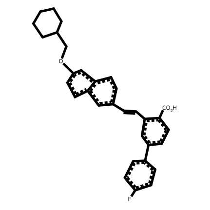 O=C(O)c1ccc(-c2ccc(F)cc2)cc1/C=C/c1ccc2cc(OCC3CCCCC3)ccc2c1